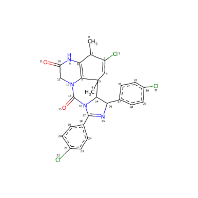 CC1C(Cl)=CC2(C)C3=C1NC(=O)CN3C(=O)N1C(c3ccc(Cl)cc3)=NC(c3ccc(Cl)cc3)C12